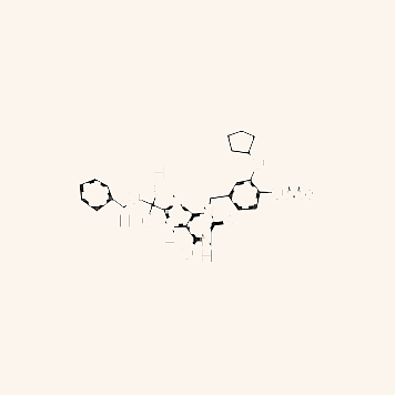 COc1ccc(Cn2c(=S)[nH]c(=O)c3[nH]c(C(C)(C)OCc4ccccc4)nc32)cc1OC1CCCC1